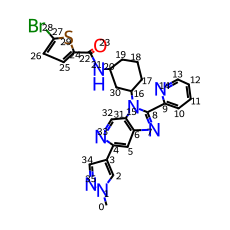 Cn1cc(-c2cc3nc(-c4ccccn4)n(C4CCCC(NC(=O)c5ccc(Br)s5)C4)c3cn2)cn1